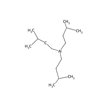 CC(C)C[CH2][Al]([CH2]CC(C)C)[CH2]CC(C)C